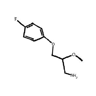 COC(CN)COc1ccc(F)cc1